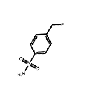 NS(=O)(=O)c1ccc(CF)cc1